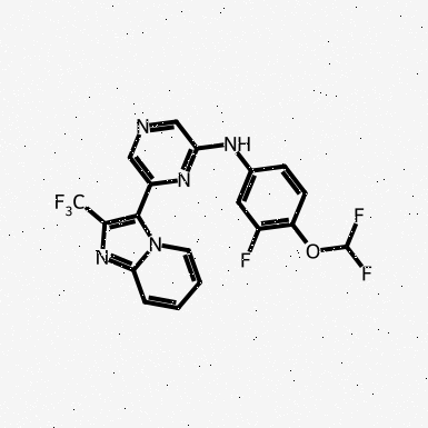 Fc1cc(Nc2cncc(-c3c(C(F)(F)F)nc4ccccn34)n2)ccc1OC(F)F